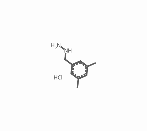 Cc1cc(C)cc(CNN)c1.Cl